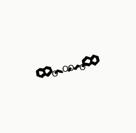 c1ccc2cc(OCCOCOCCOc3ccc4ccccc4c3)ccc2c1